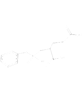 O=C(O)CCC(CP(=O)(O)Oc1ccncc1)C(=O)O